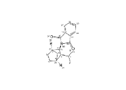 CC(C)C1[C@H]2CC[C@H](C2)[C@H]1N1C(=O)c2ccccc2C1=O